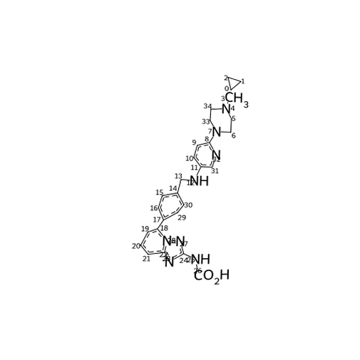 C1CC1.CN1CCN(c2ccc(NCc3ccc(-c4cccc5nc(NC(=O)O)nn45)cc3)cn2)CC1